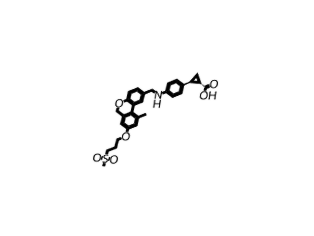 Cc1cc(OCCCS(C)(=O)=O)cc2c1-c1cc(CNc3ccc([C@H]4C[C@@H]4C(=O)O)cc3)ccc1OC2